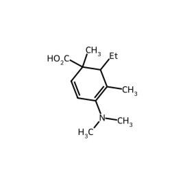 CCC1C(C)=C(N(C)C)C=CC1(C)C(=O)O